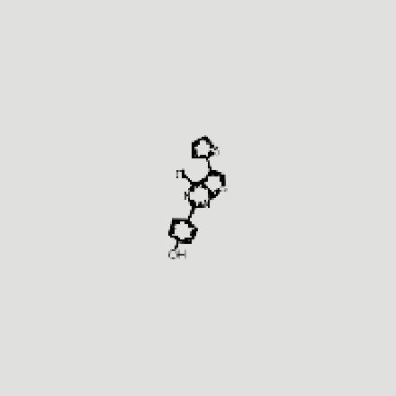 Oc1ccc(-c2nc(Cl)c3c(-c4cccs4)csc3n2)cc1